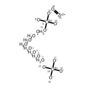 O.O.O.O.O.O.O.O.[O-][Cl+3]([O-])([O-])[O-].[O-][Cl+3]([O-])([O-])[O-].[O]=[Zr+2]